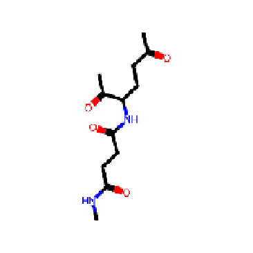 CNC(=O)CCC(=O)NC(CCC(C)=O)C(C)=O